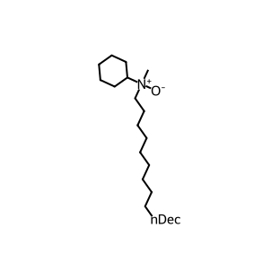 CCCCCCCCCCCCCCCCCCC[N+](C)([O-])C1CCCCC1